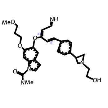 CNC(=O)n1ccc2cc(OC(/C=C/c3ccc(C4CN(CCO)C4)cc3)=C/C=N)c(OCCCOC)cc21